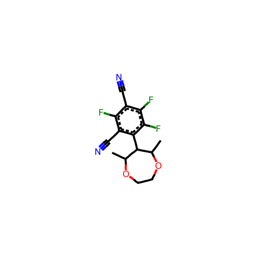 CC1OCCOC(C)C1c1c(F)c(F)c(C#N)c(F)c1C#N